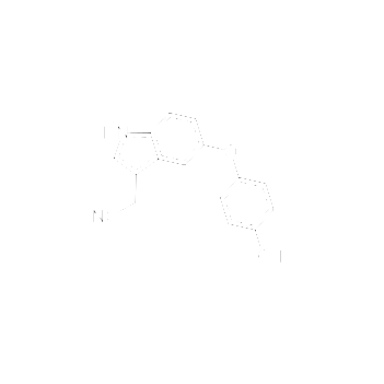 Cc1ccc(Oc2ccc3[nH]cc(CC#N)c3c2)cc1